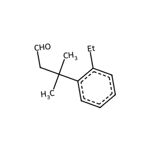 CCc1ccccc1C(C)(C)CC=O